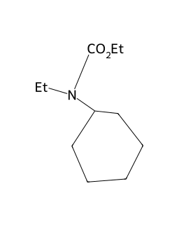 CCOC(=O)N(CC)C1CCCCC1